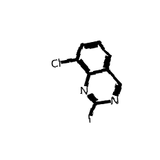 Clc1cccc2cnc(I)nc12